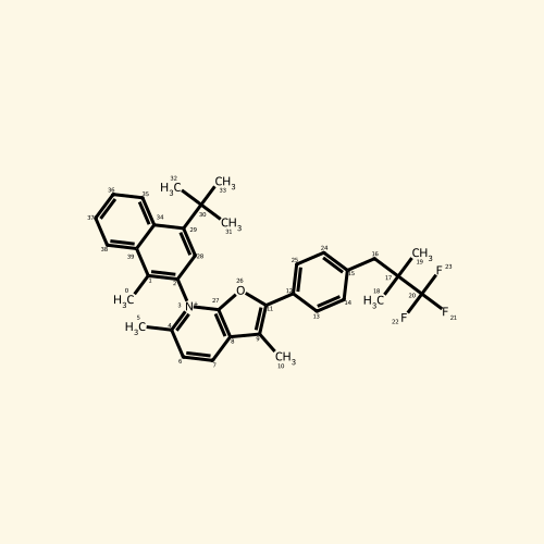 Cc1c(-[n+]2c(C)ccc3c(C)c(-c4ccc(CC(C)(C)C(F)(F)F)cc4)oc32)cc(C(C)(C)C)c2ccccc12